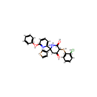 O=C1CC(c2ccsc2)(c2cccc(Oc3ccccc3)n2)NC(=O)C1Sc1ccccc1Cl